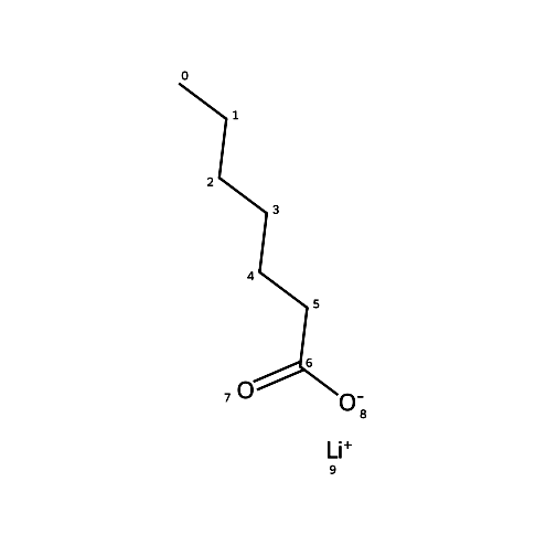 CCCCCCC(=O)[O-].[Li+]